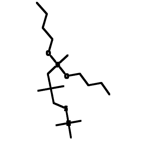 CCCCO[Si](C)(CC(C)(C)CS[Si](C)(C)C)OCCCC